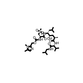 Cc1cnc(COC(=O)N[C@@H](CS(C)(=O)=O)C(=O)N[C@H](CC(C)C)[C@@H](O)C[C@@H](C)C(=O)N[C@@H](C(=O)NCC(C)C)C(C)C)n1C